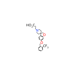 O=C(O)CCN1CCC2(CC1)COc1cc(OCc3ccccc3C(F)(F)F)ccc12